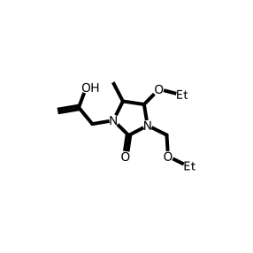 C=C(O)CN1C(=O)N(COCC)C(OCC)C1C